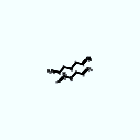 C=CCOCC=C.C=CCO[PH2]=O